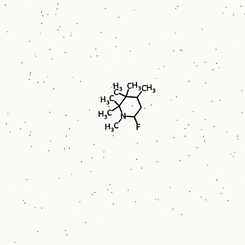 CC1CC(F)N(C)C(C)(C)C1(C)C